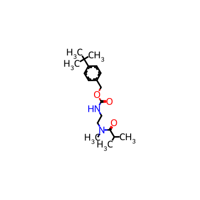 CC(C)C(=O)N(C)CCNC(=O)OCc1ccc(C(C)(C)C)cc1